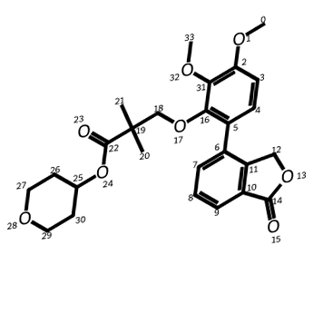 COc1ccc(-c2cccc3c2COC3=O)c(OCC(C)(C)C(=O)OC2CCOCC2)c1OC